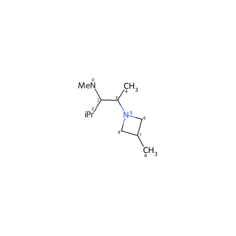 CNC(C(C)C)C(C)N1CC(C)C1